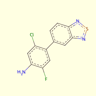 Nc1cc(Cl)c(-c2ccc3nsnc3c2)cc1F